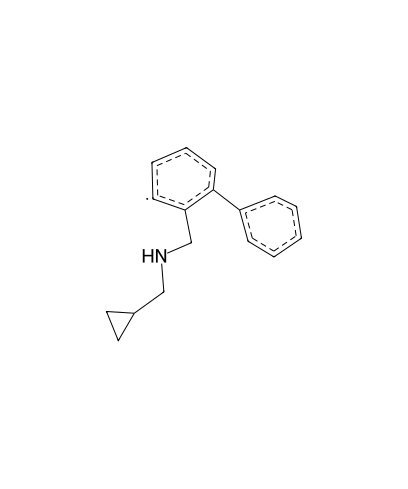 [c]1cccc(-c2ccccc2)c1CNCC1CC1